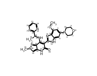 COc1cc(N2CCOCC2)cc2[nH]c(-c3c(N[C@@H](C)c4ncccn4)c4nn(C)cc4[nH]c3=O)nc12